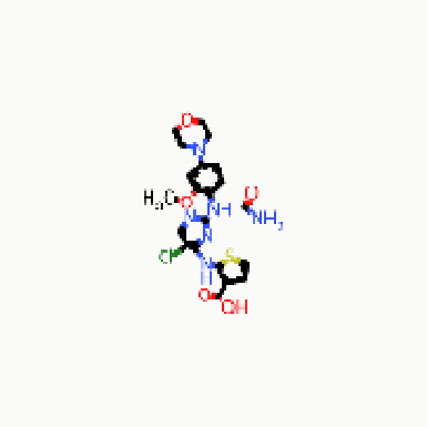 COc1cc(N2CCOCC2)ccc1Nc1ncc(Cl)c(Nc2sccc2C(=O)O)n1.NC=O